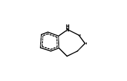 [C]1[C]Nc2ccccc2CC1